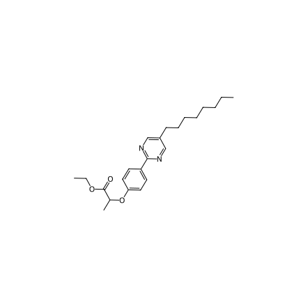 CCCCCCCCc1cnc(-c2ccc(OC(C)C(=O)OCC)cc2)nc1